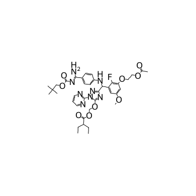 CCC(CC)C(=O)OCOc1nc(C(Nc2ccc(C(N)=NC(=O)OCC(C)(C)C)cc2)c2cc(OC)cc(OCCOC(C)=O)c2F)nn1-c1ncccn1